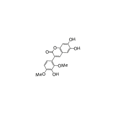 COc1ccc(-c2cc3cc(O)c(O)cc3oc2=O)c(OC)c1O